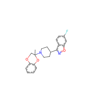 CC1(N2CCC(c3noc4cc(F)ccc34)CC2)COc2ccccc2O1